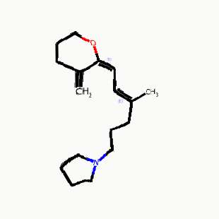 C=C1CCCO/C1=C/C=C(\C)CCCN1CCCC1